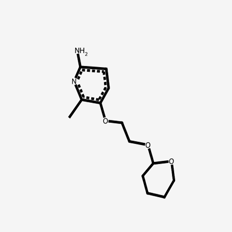 Cc1nc(N)ccc1OCCOC1CCCCO1